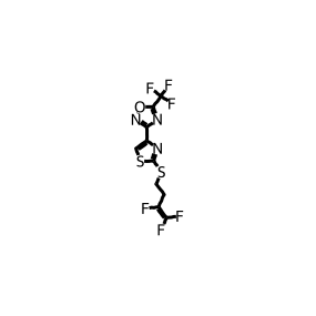 FC(F)=C(F)CCSc1nc(-c2noc(C(F)(F)F)n2)cs1